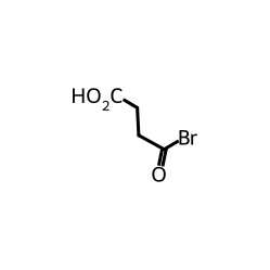 O=C(O)CCC(=O)Br